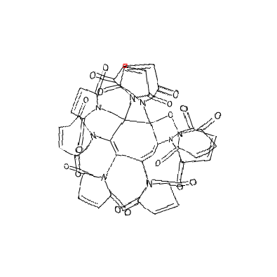 O=C1C=CC(=O)N1OC1(N2C(=O)C=CC2=O)C(N2C(=O)C=CC2=O)=C(N2C(=O)C=CC2=O)C(N2C(=O)C=CC2=O)=C(N2C(=O)C=CC2=O)C1(N1C(=O)C=CC1=O)N1C(=O)C=CC1=O